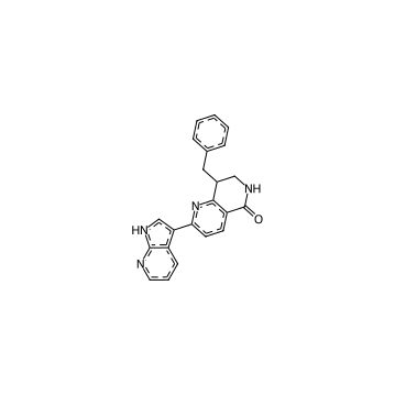 O=C1NCC(Cc2ccccc2)c2nc(-c3c[nH]c4ncccc34)ccc21